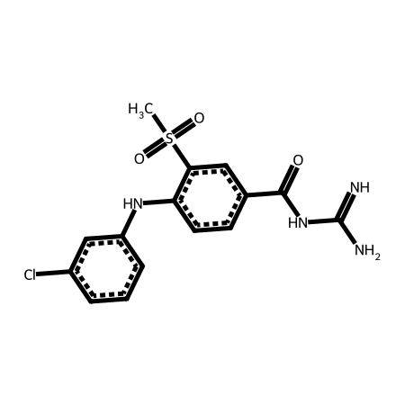 CS(=O)(=O)c1cc(C(=O)NC(=N)N)ccc1Nc1cccc(Cl)c1